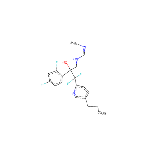 CCOC(=O)CCc1ccc(C(F)(F)C(O)(CN/C=N\NC)c2ccc(F)cc2F)nc1